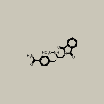 NC(=O)c1ccc(C[C@@H](CN2C(=O)c3ccccc3C2=O)NC(=O)O)cc1